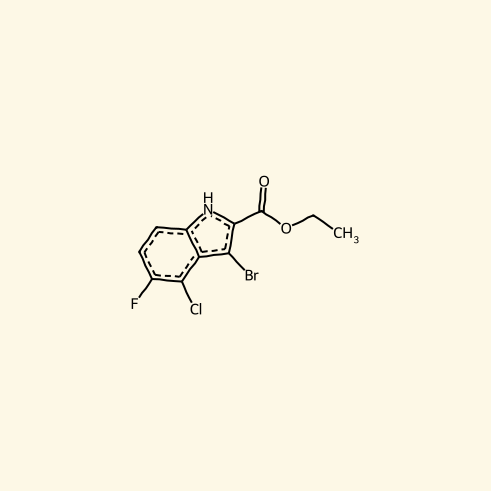 CCOC(=O)c1[nH]c2ccc(F)c(Cl)c2c1Br